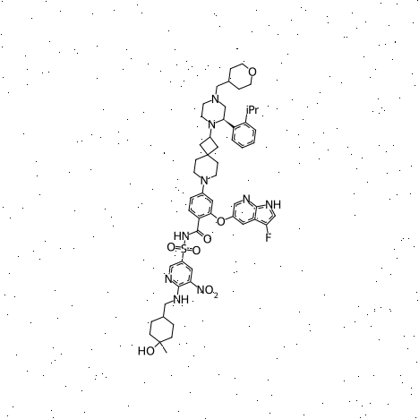 CC(C)c1ccccc1[C@@H]1CN(CC2CCOCC2)CCN1C1CC2(CCN(c3ccc(C(=O)NS(=O)(=O)c4cnc(NCC5CCC(C)(O)CC5)c([N+](=O)[O-])c4)c(Oc4cnc5[nH]cc(F)c5c4)c3)CC2)C1